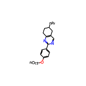 CCCCCCCCOc1ccc(-c2ncc3c(n2)CCC(CCC)C3)cc1